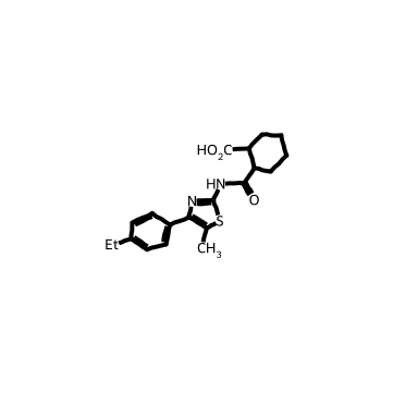 CCc1ccc(-c2nc(NC(=O)C3CCCCC3C(=O)O)sc2C)cc1